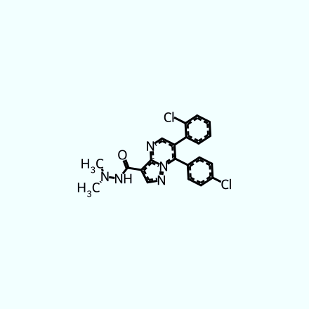 CN(C)NC(=O)c1cnn2c(-c3ccc(Cl)cc3)c(-c3ccccc3Cl)cnc12